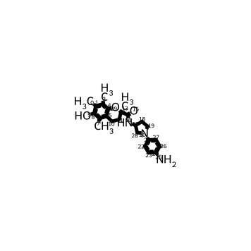 Cc1c(C)c2c(c(C)c1O)CCC(C)(C(=O)NC1CCN(c3ccc(N)cc3)C1)O2